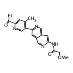 CCC(=O)c1cc(C)c(-c2cc3cnc(NC(=O)COC)cc3cn2)cn1